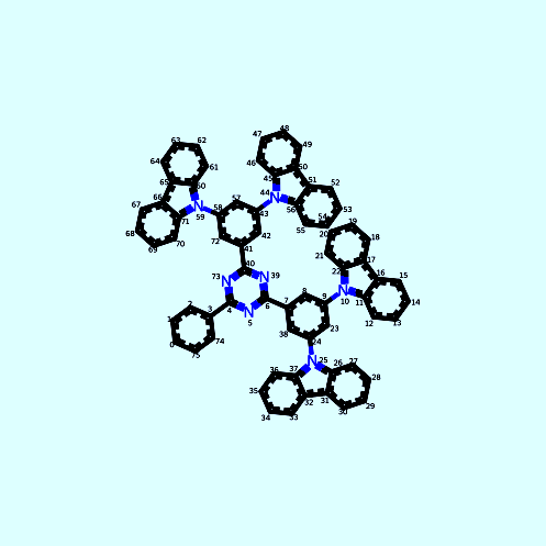 c1ccc(-c2nc(-c3cc(-n4c5ccccc5c5ccccc54)cc(-n4c5ccccc5c5ccccc54)c3)nc(-c3cc(-n4c5ccccc5c5ccccc54)cc(-n4c5ccccc5c5ccccc54)c3)n2)cc1